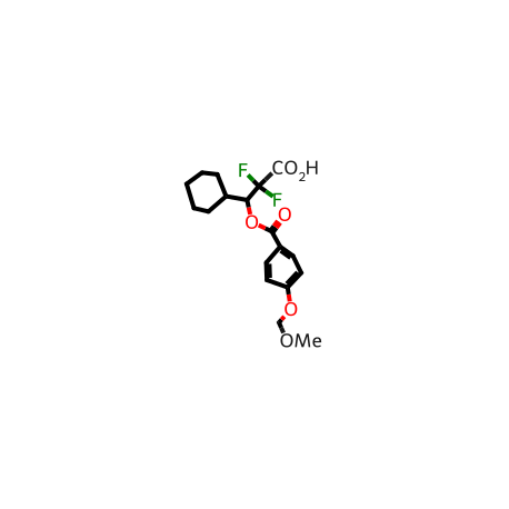 COCOc1ccc(C(=O)OC(C2CCCCC2)C(F)(F)C(=O)O)cc1